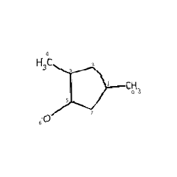 CC1CC(C)C([O])C1